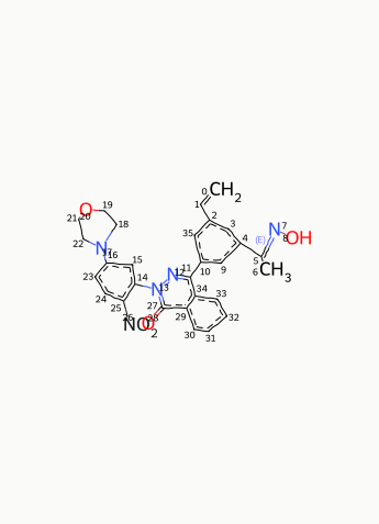 C=Cc1cc(/C(C)=N/O)cc(-c2nn(-c3cc(N4CCOCC4)ccc3[N+](=O)[O-])c(=O)c3ccccc23)c1